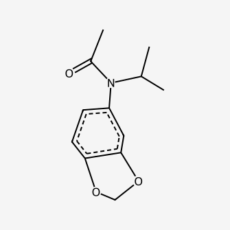 CC(=O)N(c1ccc2c(c1)OCO2)C(C)C